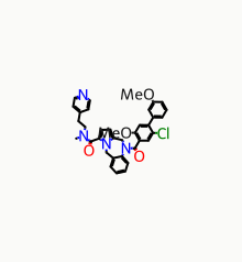 COc1cccc(-c2cc(OC)c(C(=O)N3Cc4ccc(C(=O)N(C)CCc5ccncc5)n4Cc4ccccc43)cc2Cl)c1